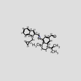 C=C(C)N1CCN(C)c2c(/N=C/c3cc4ccccc4n3CC3CC3)cc(C=O)cc21